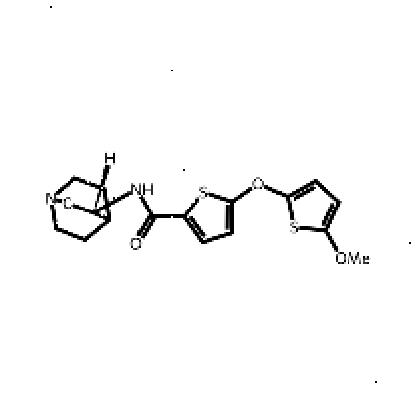 COc1ccc(Oc2ccc(C(=O)N[C@H]3CN4CCC3CC4)s2)s1